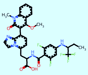 CCC(Nc1cc(F)c(C(=O)NC(Cc2ccc(-c3c(OC)c4ccccc4n(C)c3=O)c3nccn23)C(=O)O)c(F)c1)C(F)(F)F